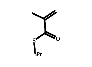 [CH2]CCSC(=O)C(=C)C